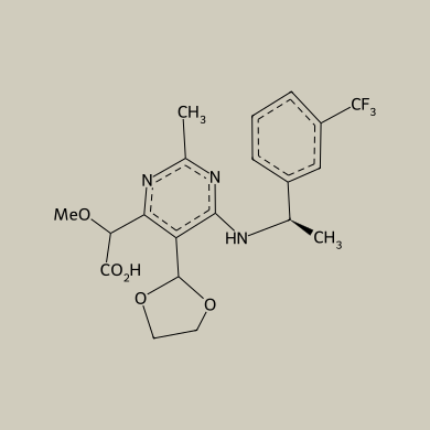 COC(C(=O)O)c1nc(C)nc(N[C@H](C)c2cccc(C(F)(F)F)c2)c1C1OCCO1